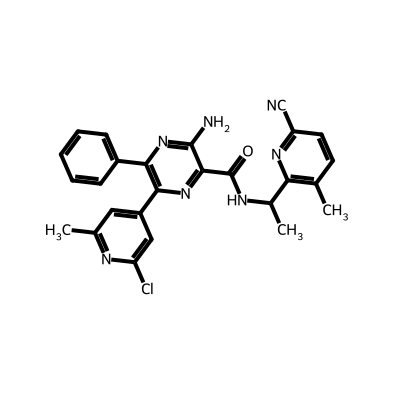 Cc1cc(-c2nc(C(=O)NC(C)c3nc(C#N)ccc3C)c(N)nc2-c2ccccc2)cc(Cl)n1